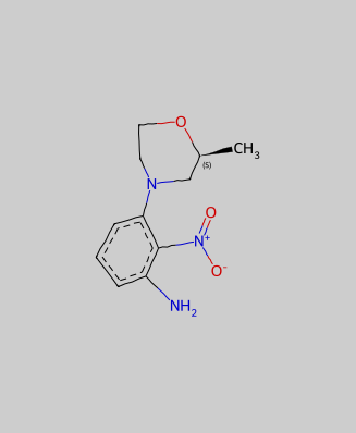 C[C@H]1CN(c2cccc(N)c2[N+](=O)[O-])CCO1